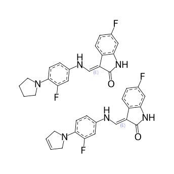 O=C1Nc2cc(F)ccc2/C1=C\Nc1ccc(N2CC=CC2)c(F)c1.O=C1Nc2cc(F)ccc2/C1=C\Nc1ccc(N2CCCC2)c(F)c1